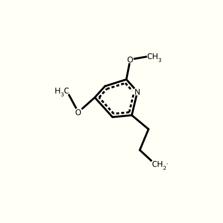 [CH2]CCc1cc(OC)cc(OC)n1